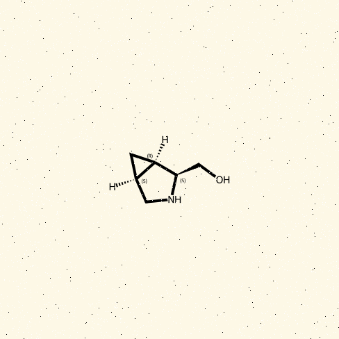 OC[C@H]1NC[C@H]2C[C@H]21